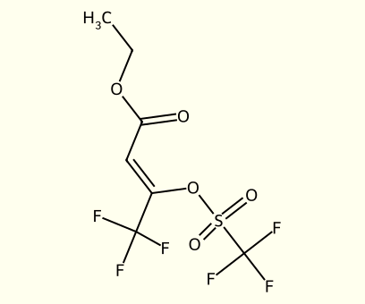 CCOC(=O)C=C(OS(=O)(=O)C(F)(F)F)C(F)(F)F